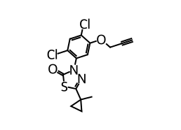 C#CCOc1cc(-n2nc(C3(C)CC3)sc2=O)c(Cl)cc1Cl